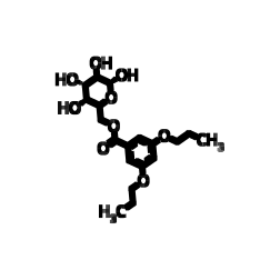 CCCOc1cc(OCCC)cc(C(=O)OCC2O[C@H](O)C(O)[C@@H](O)[C@@H]2O)c1